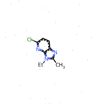 CCn1c(C)nc2ccc(Cl)nc21